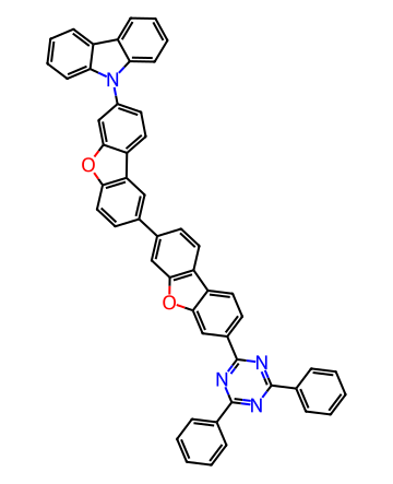 c1ccc(-c2nc(-c3ccccc3)nc(-c3ccc4c(c3)oc3cc(-c5ccc6oc7cc(-n8c9ccccc9c9ccccc98)ccc7c6c5)ccc34)n2)cc1